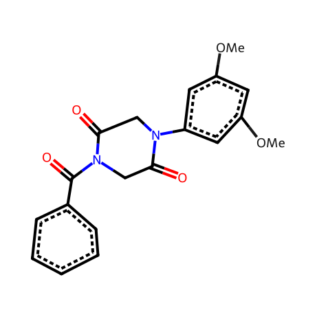 COc1cc(OC)cc(N2CC(=O)N(C(=O)c3ccccc3)CC2=O)c1